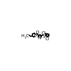 CCCC1CCN(C(=O)c2cncc(CSc3c(Cl)cccc3Cl)c2)CC1